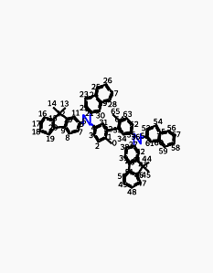 Cc1ccc(N(c2ccc3c(c2)C(C)(C)c2ccccc2-3)c2ccc3ccccc3c2)cc1-c1cc(N(c2ccc3c(c2)C(C)(C)c2ccccc2-3)c2ccc3ccccc3c2)ccc1C